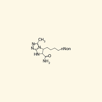 CCCCCCCCCCCCCC1C(C(N)=O)Nc2nnc(C)n21